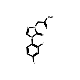 COC(=O)Cn1ncn(-c2ccc(Br)cc2F)c1=O